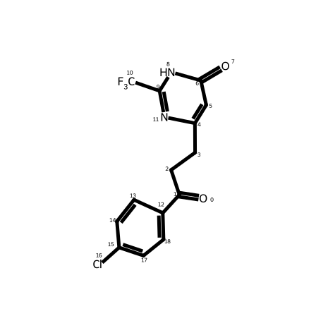 O=C(CCc1cc(=O)[nH]c(C(F)(F)F)n1)c1ccc(Cl)cc1